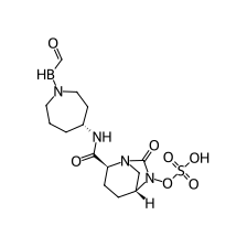 O=CBN1CCC[C@@H](NC(=O)[C@@H]2CC[C@@H]3CN2C(=O)N3OS(=O)(=O)O)CC1